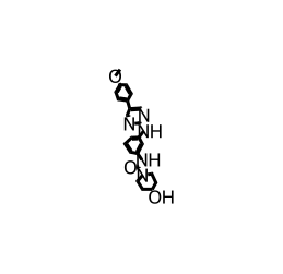 COc1ccc(-c2cnc(Nc3cccc(NC(=O)N4CCC(O)CC4)c3)nc2)cc1